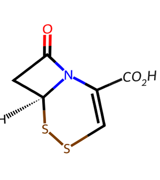 O=C(O)C1=CSS[C@H]2CC(=O)N12